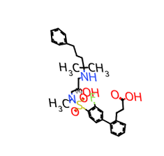 CN(C[C@H](O)CNC(C)(C)CCCc1ccccc1)S(=O)(=O)c1ccc(-c2ccccc2CCC(=O)O)cc1F